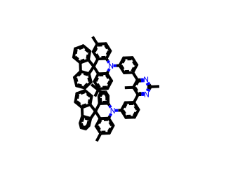 Cc1ccc2c(c1)C1(c3ccccc3-c3ccccc31)c1cc(C)ccc1N2c1cccc(-c2nc(C)nc(-c3cccc(N4c5ccc(C)cc5C5(c6ccccc6-c6ccccc65)c5cc(C)ccc54)c3)c2C)c1